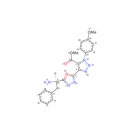 COC(=O)c1c(-c2nnc([C@](C)(N)Cc3ccccc3)o2)nnn1-c1ccc(OC)cc1